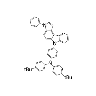 CC(C)(C)c1ccc(N(c2ccc(-n3c4ccccc4c4c5ccn(-c6ccccc6)c5ccc43)cc2)c2ccc(C(C)(C)C)cc2)cc1